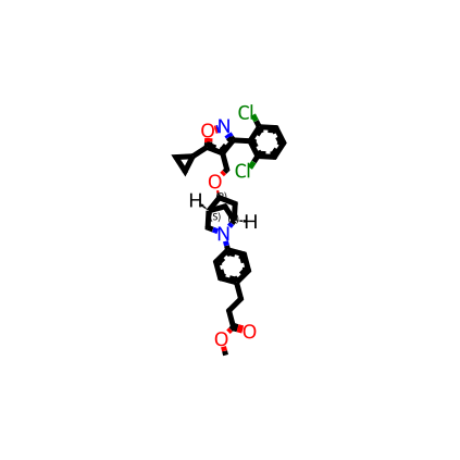 COC(=O)CCc1ccc(N2C[C@@H]3C[C@H]2C[C@H]3OCc2c(-c3c(Cl)cccc3Cl)noc2C2CC2)cc1